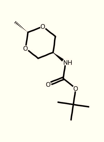 CC(C)(C)OC(=O)N[C@H]1CO[C@H](C)OC1